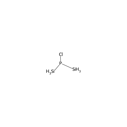 [SiH3]P([SiH3])Cl